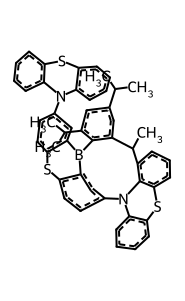 CC(C)c1cc(C(C)C)c2c(c1)C(C)c1cccc3c1N(c1ccc4c(c1)B2c1cc(N2c5ccccc5Sc5ccccc52)ccc1S4)c1ccccc1S3